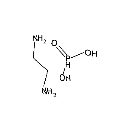 NCCN.O=[PH](O)O